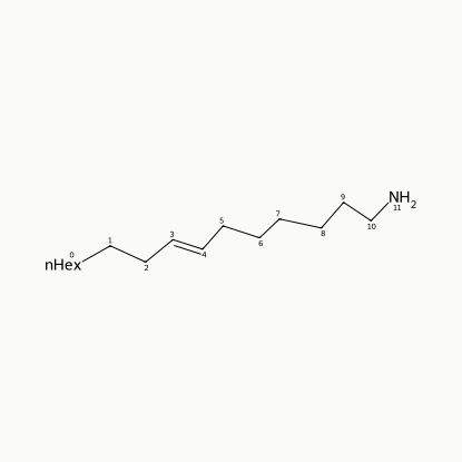 CCCCCCCCC=CCCCCCCN